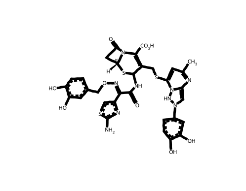 CC1=NC2=CN(c3ccc(O)c(O)c3)NN2C(SCC2=C(C(=O)O)N3C(=O)C[C@H]3SC2NC(=O)C(=NOCc2ccc(O)c(O)c2)c2csc(N)n2)=C1